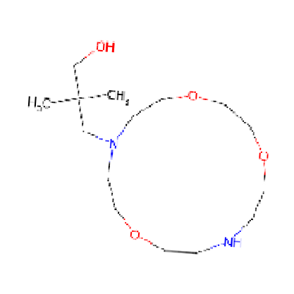 CC(C)(CO)CN1CCOCCNCCOCCOCC1